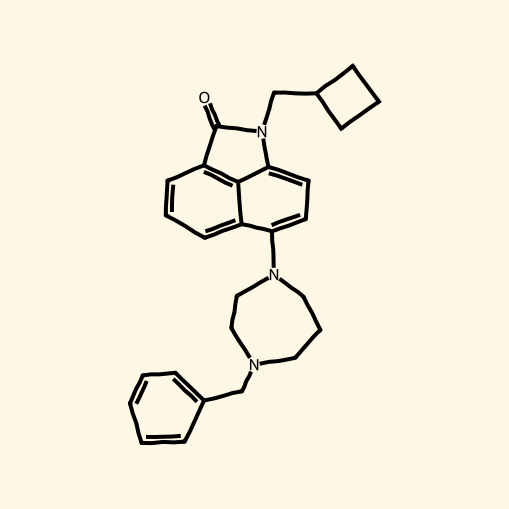 O=C1c2cccc3c(N4CCCN(Cc5ccccc5)CC4)ccc(c23)N1CC1CCC1